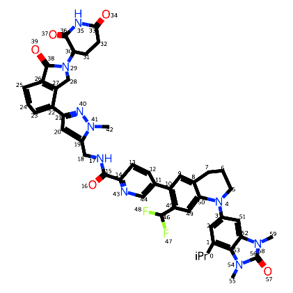 CC(C)c1cc(N2CCCc3cc(-c4ccc(C(=O)NCc5cc(-c6cccc7c6CN(C6CCC(=O)NC6=O)C7=O)nn5C)nc4)c(C(F)F)cc32)cc2c1n(C)c(=O)n2C